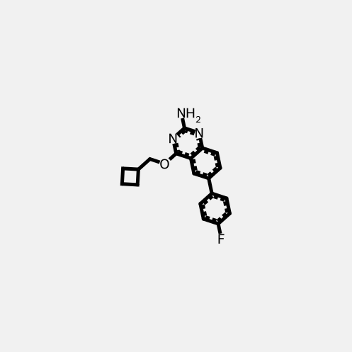 Nc1nc(OCC2CCC2)c2cc(-c3ccc(F)cc3)ccc2n1